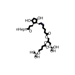 CCCCCCCC(=O)CC[C@@H]1[C@@H](C/C=C\CCCC(=O)OCC(CON(O)O)OC(=O)CCCON(O)O)[C@@H](O)C[C@H]1O